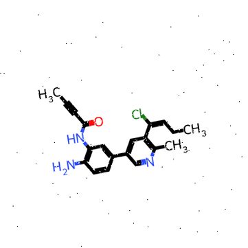 CC#CC(=O)Nc1cc(-c2cnc(C)c(/C(Cl)=C\CC)c2)ccc1N